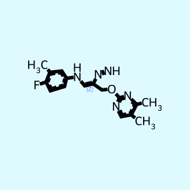 Cc1cc(N/C=C(/COc2ncc(C)c(C)n2)N=N)ccc1F